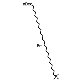 CCCCCCCCCCCCCCCCCCCCCCCCCCCCCCCCCC[P+](C)(C)C.[Br-]